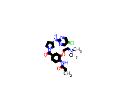 C=CC(=O)Nc1ccc(C(=O)N2CC[C@H](Nc3ncc(Cl)cn3)C2)cc1OCCN(C)C